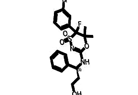 CC1(C)OC(N[C@@H](CCO)c2ccccc2)=NS(=O)(=O)C1(F)c1cccc(Br)c1